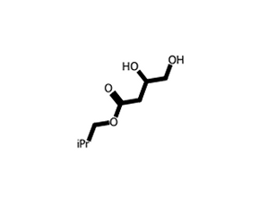 CC(C)COC(=O)CC(O)CO